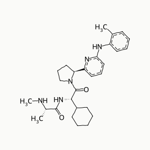 CN[C@@H](C)C(=O)N[C@H](C(=O)N1CCC[C@H]1c1cccc(Nc2ccccc2C)n1)C1CCCCC1